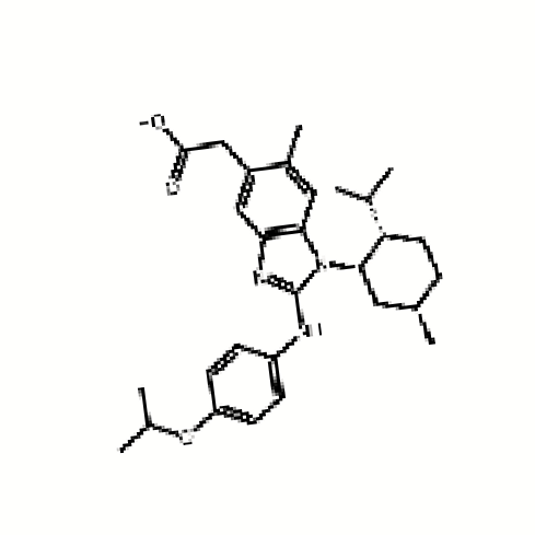 Cc1cc2c(cc1CC(=O)O)nc(Nc1ccc(OC(C)C)cc1)n2[C@@H]1C[C@H](C)CC[C@H]1C(C)C